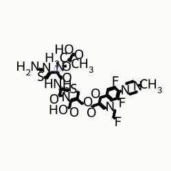 CN1CCN(c2c(F)cc3c(=O)c(C(=O)OCC4=C(C(=O)O)N5C(=O)[C@@H](NC(=O)/C(=N\OC(C)(C)C(=O)O)c6csc(N)n6)[C@H]5SC4)cn(CCF)c3c2F)CC1